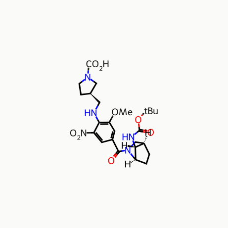 COc1cc(C(=O)N2C[C@H]3CC[C@@H]2[C@@H]3NC(=O)OC(C)(C)C)cc([N+](=O)[O-])c1NC[C@H]1CCN(C(=O)O)C1